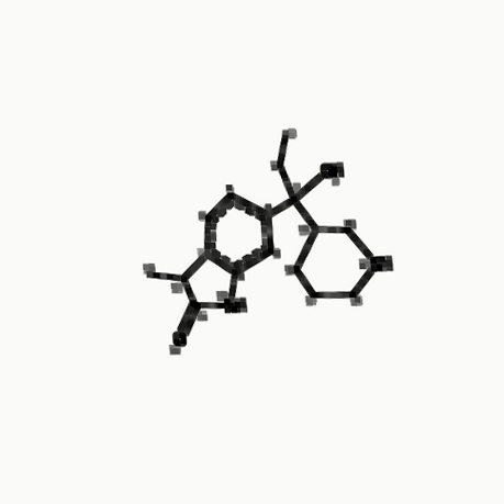 CCC(O)(c1ccc2c(c1)NC(=O)C2C)C1CCCNC1